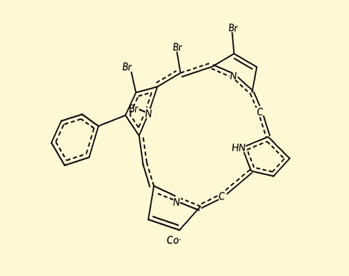 BrC1=Cc2cc3ccc(cc4nc(cc5c(-c6ccccc6)c(Br)c(c(Br)c1n2)n5Br)C=C4)[nH]3.[Co]